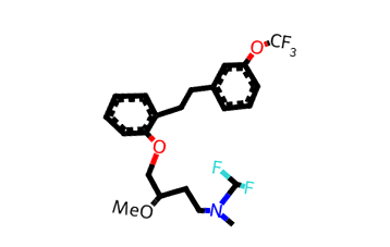 COC(CCN(C)C(F)F)COc1ccccc1CCc1cccc(OC(F)(F)F)c1